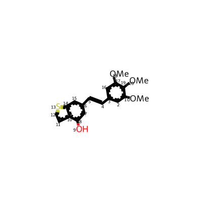 COc1cc(/C=C/c2cc(O)c3ccsc3c2)cc(OC)c1OC